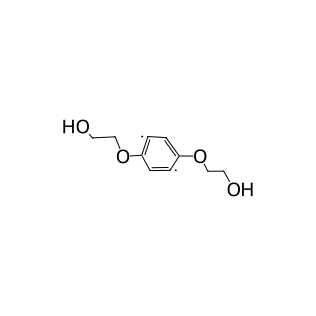 OCCOc1[c]cc(OCCO)[c]c1